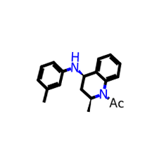 CC(=O)N1c2ccccc2[C@H](Nc2cccc(C)c2)C[C@@H]1C